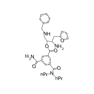 CCCN(CCC)C(=O)c1cc(C(N)=O)cc(C(=O)OC(CNCc2ccccc2)C(N)Cc2ccco2)c1